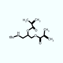 C=C(C)C(=O)OCC(CNC(C)(C)C)OC(=O)C(=C)C